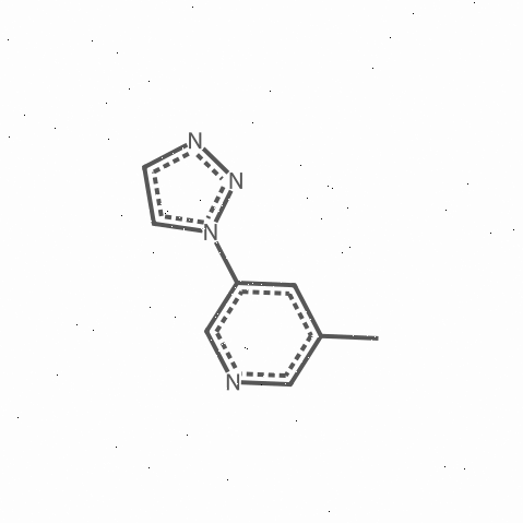 Cc1cncc(-n2ccnn2)c1